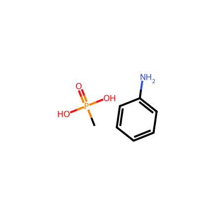 CP(=O)(O)O.Nc1ccccc1